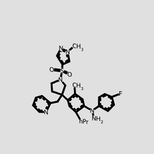 CCCc1cc(C2(Cc3ccccn3)CCN(S(=O)(=O)c3cnn(C)c3)C2)c(C)cc1N(N)c1ccc(F)cc1